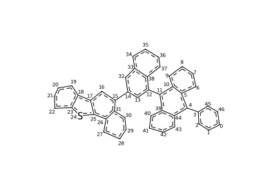 c1ccc(-c2c3ccccc3c(-c3cc(-c4cc5c6ccccc6sc5c5ccccc45)cc4ccccc34)c3ccccc23)cc1